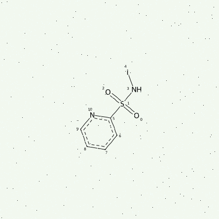 O=S(=O)(NI)c1ccccn1